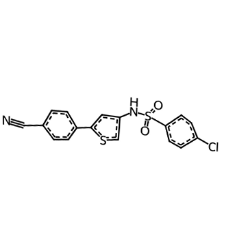 N#Cc1ccc(-c2cc(NS(=O)(=O)c3ccc(Cl)cc3)cs2)cc1